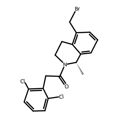 C[C@H]1c2cccc(CBr)c2CCN1C(=O)Cc1c(Cl)cccc1Cl